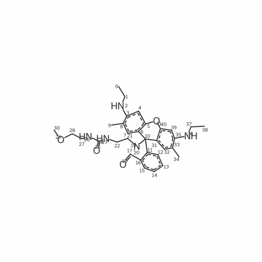 CCNc1cc2c(cc1C)C(c1ccccc1C=O)(N(C)CCNC(=O)NCCOC)c1cc(C)c(NCC)cc1O2